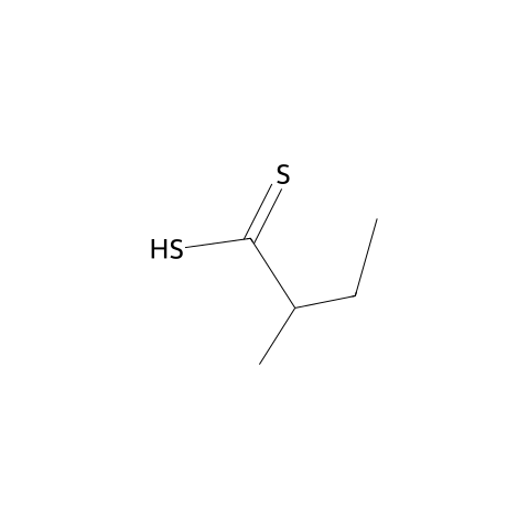 CCC(C)C(=S)S